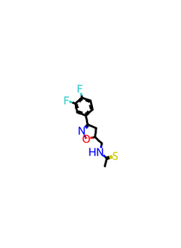 CC(=S)NCC1CC(c2ccc(F)c(F)c2)=NO1